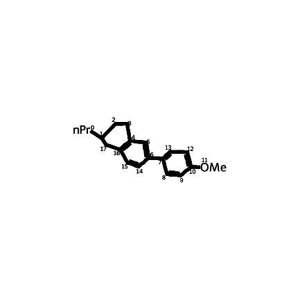 CCCC1CCc2cc(-c3ccc(OC)cc3)ccc2C1